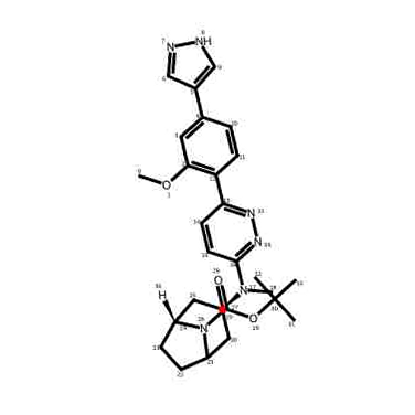 COc1cc(-c2cn[nH]c2)ccc1-c1ccc(N(C)[C@H]2CC3CC[C@H](C2)N3C(=O)OC(C)(C)C)nn1